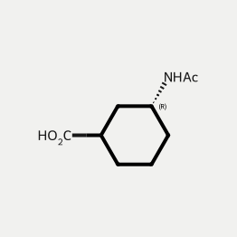 CC(=O)N[C@@H]1CCCC(C(=O)O)C1